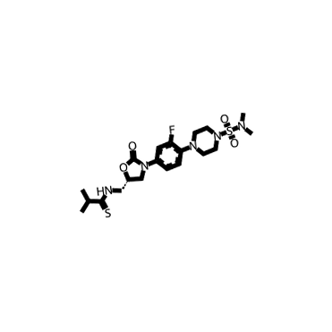 CC(C)C(=S)NC[C@H]1CN(c2ccc(N3CCN(S(=O)(=O)N(C)C)CC3)c(F)c2)C(=O)O1